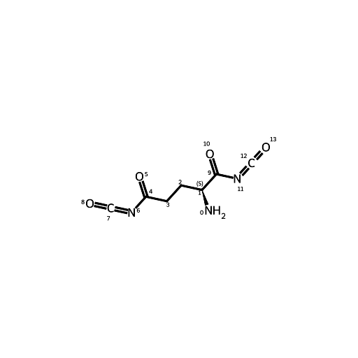 N[C@@H](CCC(=O)N=C=O)C(=O)N=C=O